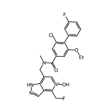 CCOc1cc(C(=O)N(C)Cc2c[n+](O)c(CF)c3cn[nH]c23)cc(Cl)c1-c1cccc(F)c1